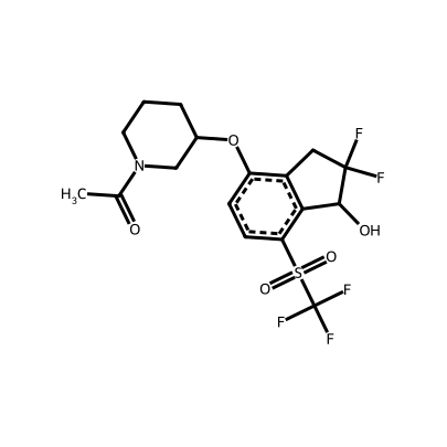 CC(=O)N1CCCC(Oc2ccc(S(=O)(=O)C(F)(F)F)c3c2CC(F)(F)C3O)C1